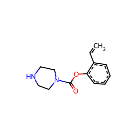 C=Cc1ccccc1OC(=O)N1CCNCC1